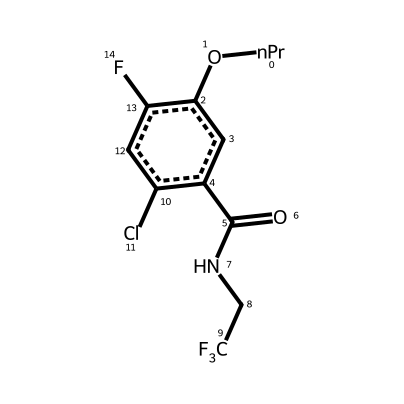 C[CH]COc1cc(C(=O)NCC(F)(F)F)c(Cl)cc1F